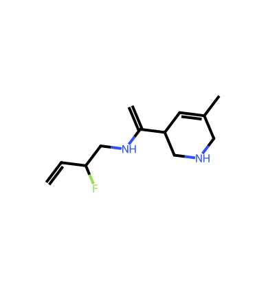 C=CC(F)CNC(=C)C1C=C(C)CNC1